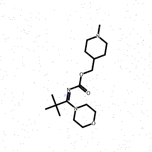 CN1CCC(COC(=O)/N=C(\N2CCOCC2)C(C)(C)C)CC1